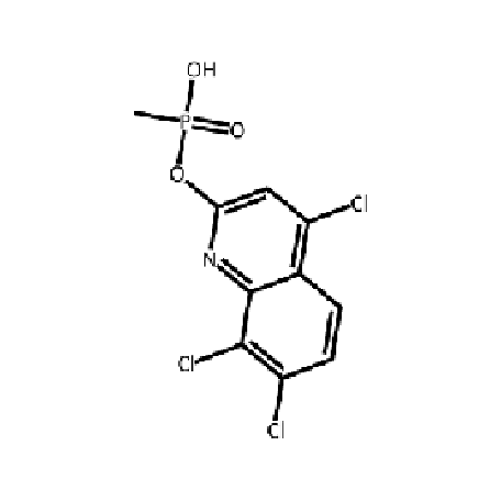 CP(=O)(O)Oc1cc(Cl)c2ccc(Cl)c(Cl)c2n1